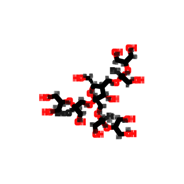 CC[C@@](CO)(OCC1[C@@H](CO)O[C@@](CO[C@@](CC)(CO)OC(CO)CO)(OC[C@@](CO)(OC)OC(CO)CO)[C@H]1O)OC(CO)CO